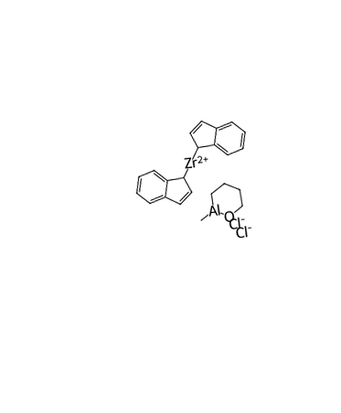 C1=C[CH]([Zr+2][CH]2C=Cc3ccccc32)c2ccccc21.[CH3][Al]1[CH2]CCC[O]1.[Cl-].[Cl-]